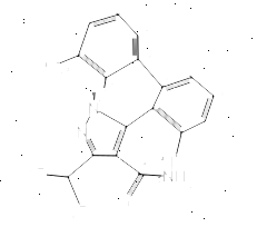 Cn1nc(C(F)F)c(C(N)=O)c1-c1c(F)cccc1-c1cccc(Cl)c1Cl